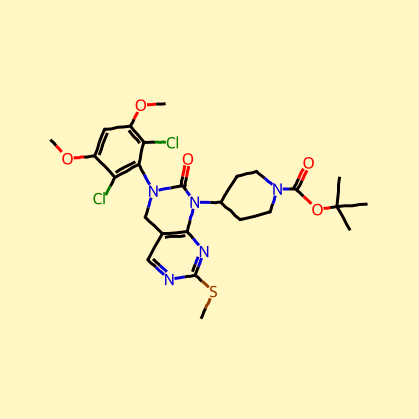 COc1cc(OC)c(Cl)c(N2Cc3cnc(SC)nc3N(C3CCN(C(=O)OC(C)(C)C)CC3)C2=O)c1Cl